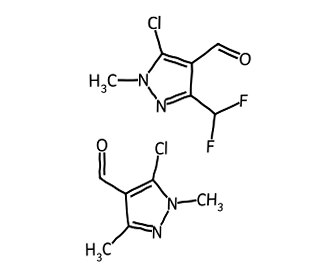 Cc1nn(C)c(Cl)c1C=O.Cn1nc(C(F)F)c(C=O)c1Cl